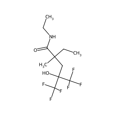 CCNC(=O)C(C)(CC)CC(O)(C(F)(F)F)C(F)(F)F